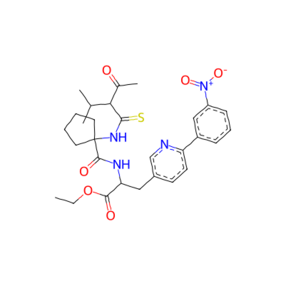 CCOC(=O)C(Cc1ccc(-c2cccc([N+](=O)[O-])c2)nc1)NC(=O)C1(NC(=S)C(C(C)=O)C(C)C)CCCC1